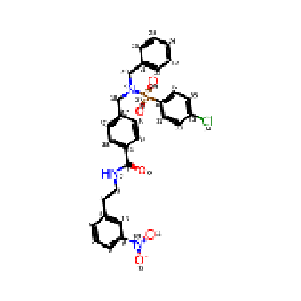 O=C(NCCc1cccc([N+](=O)[O-])c1)c1ccc(CN(Cc2ccccc2)S(=O)(=O)c2ccc(Cl)cc2)cc1